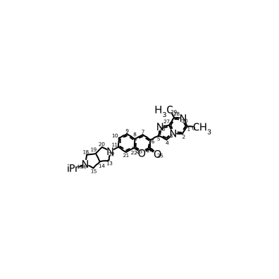 Cc1cn2cc(-c3cc4ccc(N5CC6CN(C(C)C)CC6C5)cc4oc3=O)nc2c(C)n1